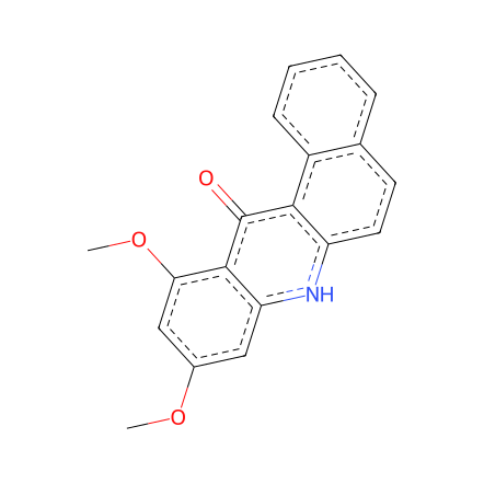 COc1cc(OC)c2c(=O)c3c(ccc4ccccc43)[nH]c2c1